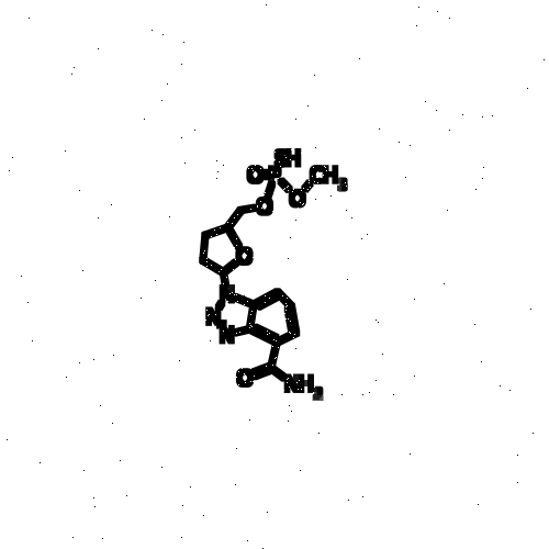 COP(=O)(S)OCC1CCC(n2nnc3c(C(N)=O)cccc32)O1